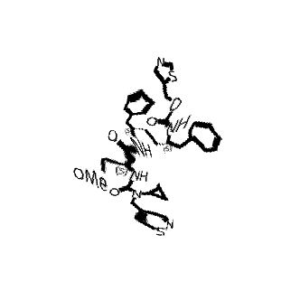 COC[C@H](NC(=O)N(Cc1cnsc1)C1CC1)C(=O)N[C@@H](CC[C@@H](Cc1ccccc1)NC(=O)OCc1cncs1)Cc1ccccc1